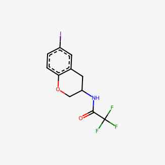 O=C(NC1COc2ccc(I)cc2C1)C(F)(F)F